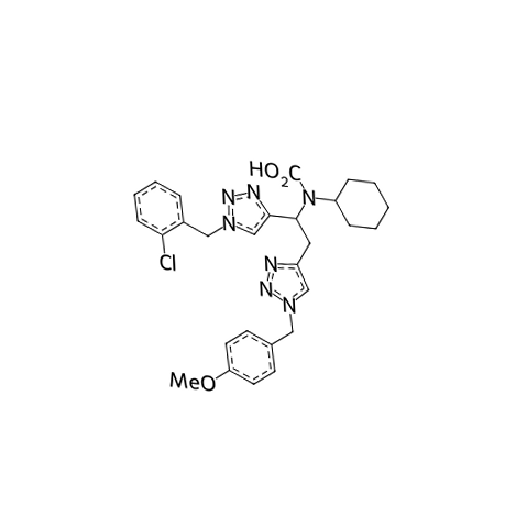 COc1ccc(Cn2cc(CC(c3cn(Cc4ccccc4Cl)nn3)N(C(=O)O)C3CCCCC3)nn2)cc1